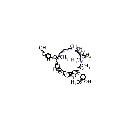 CO[C@@H]1C[C@H](C[C@@H](C)[C@@H]2CC(=O)[C@H](C)/C=C(\C)[C@@H](O)[C@@H](OC)C(=O)[C@H](C)C[C@H](C)/C=C/C=C/C=C(\C)[C@H](OCc3ccc(OCCO)cn3)C[C@@H]3CC[C@@H](C)[C@@](O)(O3)C(=O)C(=O)N3CCCC[C@H]3C(=O)O2)CC[C@H]1O